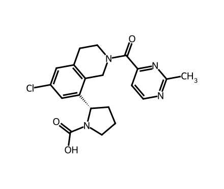 Cc1nccc(C(=O)N2CCc3cc(Cl)cc([C@@H]4CCCN4C(=O)O)c3C2)n1